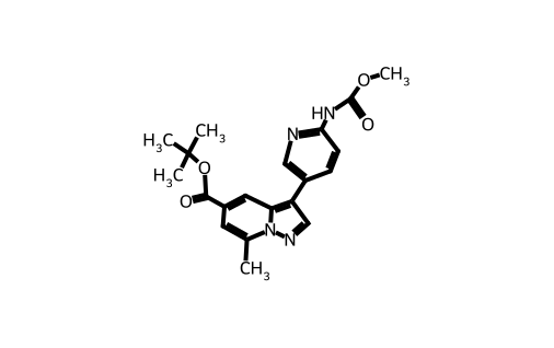 COC(=O)Nc1ccc(-c2cnn3c(C)cc(C(=O)OC(C)(C)C)cc23)cn1